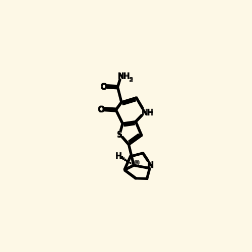 NC(=O)c1c[nH]c2cc([C@H]3CN4CCC3CC4)sc2c1=O